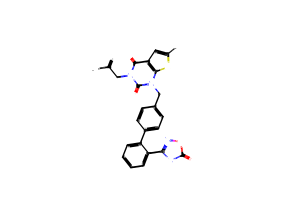 C=C(Cn1c(=O)c2cc(CC)sc2n(Cc2ccc(-c3ccccc3-c3noc(=O)[nH]3)cc2)c1=O)C(C)(C)C